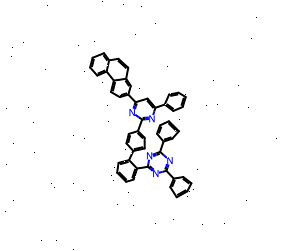 c1ccc(-c2cc(-c3ccc4c(ccc5ccccc54)c3)nc(-c3ccc(-c4ccccc4-c4nc(-c5ccccc5)nc(-c5ccccc5)n4)cc3)n2)cc1